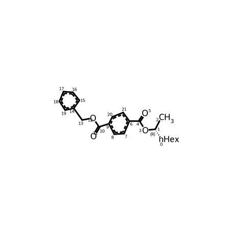 CCCCCC[C@@H](C)OC(=O)c1ccc(C(=O)OCc2ccccc2)cc1